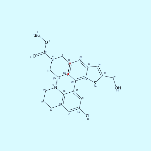 CC(C)(C)OC(=O)N1CCC[C@H](N2CCCc3cc(Cl)cc(-c4ccnc5cc(CO)sc45)c32)C1